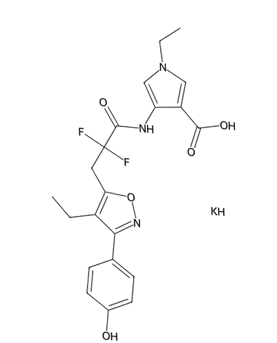 CCc1c(-c2ccc(O)cc2)noc1CC(F)(F)C(=O)Nc1cn(CC)cc1C(=O)O.[KH]